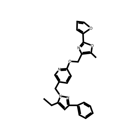 CCc1[c]c(-c2ccccc2)nn1Cc1ccc(OCc2nc(-c3ccco3)oc2C)nc1